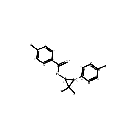 Cc1ccc(C(=O)N[C@H]2[C@H](c3ccc(C)cc3)C2(C)C)cc1